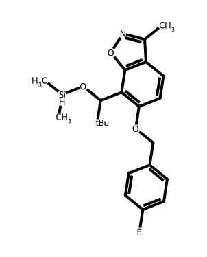 Cc1noc2c(C(O[SiH](C)C)C(C)(C)C)c(OCc3ccc(F)cc3)ccc12